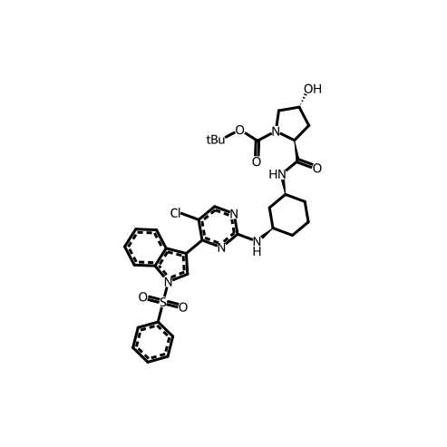 CC(C)(C)OC(=O)N1C[C@H](O)C[C@H]1C(=O)N[C@H]1CCC[C@@H](Nc2ncc(Cl)c(-c3cn(S(=O)(=O)c4ccccc4)c4ccccc34)n2)C1